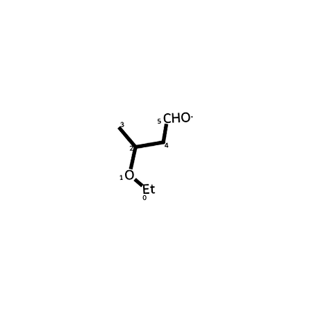 CCOC(C)C[C]=O